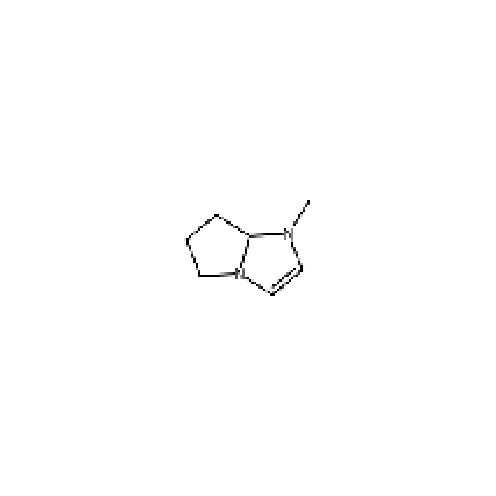 CN1C=CN2CCCC12